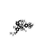 CC(c1ccnc(CN)c1)C1(C(C)c2ccnc(CN)c2)NC(=O)N(c2ccc(S(=O)(=O)C(F)(F)F)cc2)C1=O